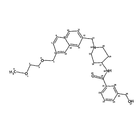 COCCOCc1ccc2ccc(CN3CCC(NC(=O)c4cccc(CO)c4)CC3)cc2c1